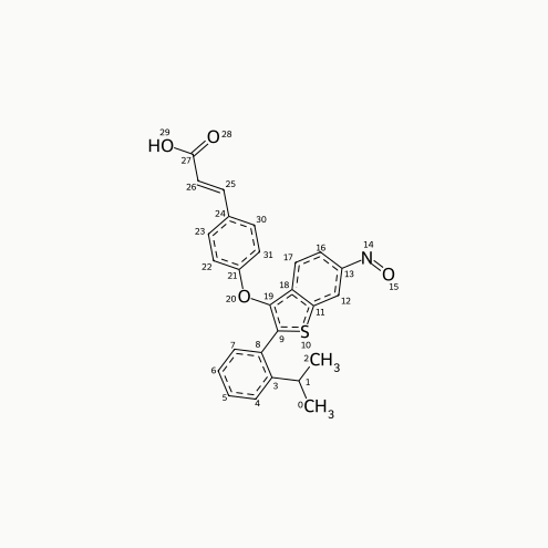 CC(C)c1ccccc1-c1sc2cc(N=O)ccc2c1Oc1ccc(/C=C/C(=O)O)cc1